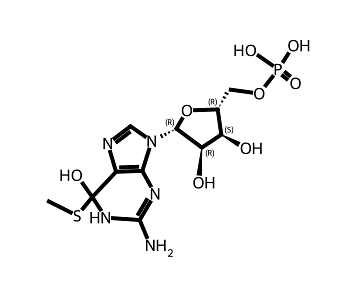 CSC1(O)NC(N)=Nc2c1ncn2[C@@H]1O[C@H](COP(=O)(O)O)[C@@H](O)[C@H]1O